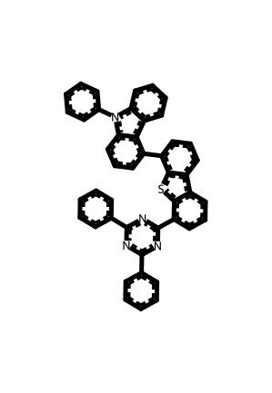 c1ccc(-c2nc(-c3ccccc3)nc(-c3cccc4c3sc3c(-c5cccc6c5c5ccccc5n6-c5ccccc5)cccc34)n2)cc1